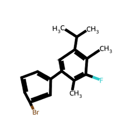 Cc1c(-c2cccc(Br)c2)[c]c(C(C)C)c(C)c1F